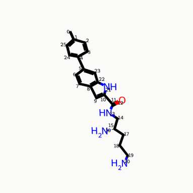 Cc1ccc(-c2ccc3cc(C(=O)NC[C@@H](N)CCCN)[nH]c3c2)cc1